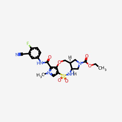 CCOC(=O)N1C[C@@H]2COc3c(cn(C)c3C(=O)Nc3ccc(F)c(C#N)c3)S(=O)(=O)N[C@@H]2C1